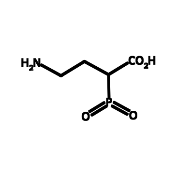 NCCC(C(=O)O)P(=O)=O